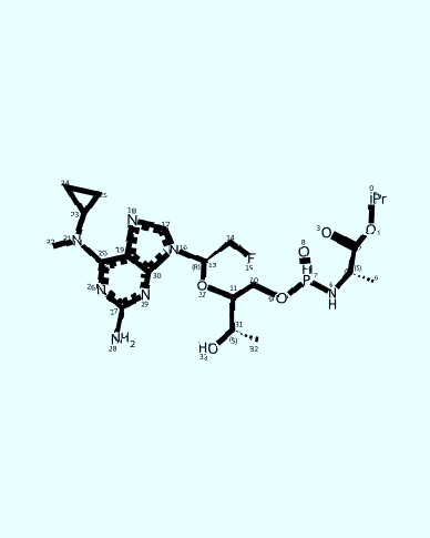 CC(C)OC(=O)[C@H](C)N[PH](=O)OCC(O[C@H](CF)n1cnc2c(N(C)C3CC3)nc(N)nc21)[C@H](C)O